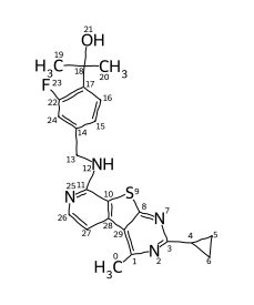 Cc1nc(C2CC2)nc2sc3c(NCc4ccc(C(C)(C)O)c(F)c4)nccc3c12